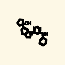 OC1(c2ccc3ccn(-c4cc(Nc5ccccc5)ncn4)c3c2)CCCC1